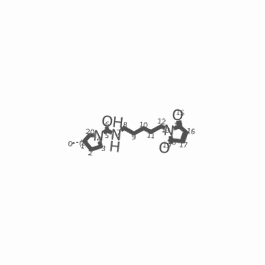 C[C@H]1CCN(C(O)NCCCCCN2C(=O)C=CC2=O)C1